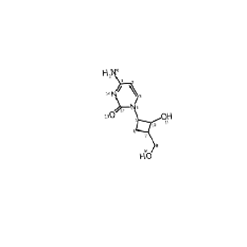 Nc1ccn(C2CC(CO)C2O)c(=O)n1